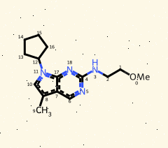 COCCNc1ncc2c(C)cn(C3CCCC3)c2n1